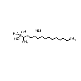 CCCCCCCCCCCCCC(P)C(O)(O)O.Cl